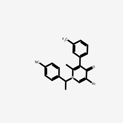 CC(=O)c1cn(C(C)c2ccc(C#N)cc2)c(C)c(-c2cccc(C(F)(F)F)c2)c1=O